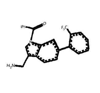 CC(C)C(=O)n1cc(CN)c2ccc(-c3ccccc3C(F)(F)F)cc21